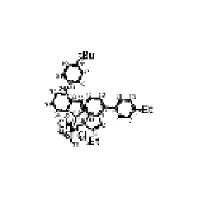 CCC1=Cc2c(-c3ccc(CC)cc3)cccc2[CH]1[Zr]([Cl])([Cl])([CH]1C=Cc2c(-c3ccc(C(C)(C)C)cc3)cccc21)[SiH](C)C